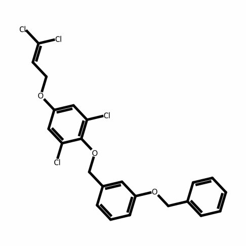 ClC(Cl)=CCOc1cc(Cl)c(OCc2cccc(OCc3ccccc3)c2)c(Cl)c1